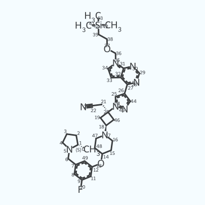 C[C@H]1CCCN1Cc1cc(F)cc(OC2CCN([C@H]3C[C@@](CC#N)(n4cc(-c5ncnc6c5ccn6COCC[Si](C)(C)C)cn4)C3)CC2)c1